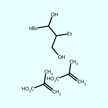 C=C(C)C(=O)O.C=C(C)C(=O)O.CCCCC(O)C(CC)CO